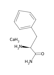 NC(=O)[C@@H](N)Cc1ccccc1.[CaH2]